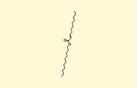 CCCCCCCCC=CC(=O)OCCCCCCCCCCC